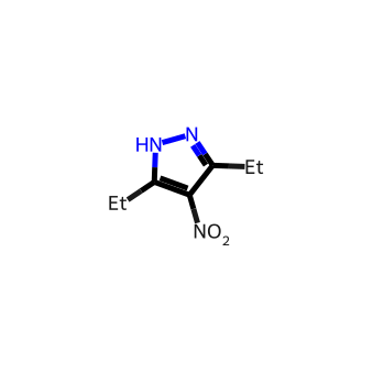 CCc1n[nH]c(CC)c1[N+](=O)[O-]